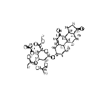 COC(=O)[C@H]1OC(O[C@@H]2CC[C@@]3(C)C(=CC(=O)C4C3CC[C@]3(C)C(=O)CCC43)C2)[C@H](OC(C)=O)[C@@H](OC(C)=O)[C@@H]1OC(C)=O